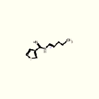 CCC/C=C/NC(=N)c1ccsc1